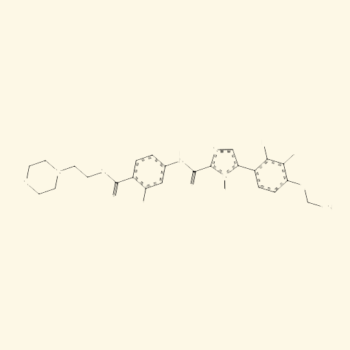 Cn1c(-c2ccc(OCC#N)c(F)c2F)cnc1C(=O)Nc1ccc(C(=O)NCCN2CCNCC2)c(Cl)c1